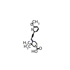 COc1cccc(C#C/C=C2\CCN(C(=O)O)CC2(C)C)n1